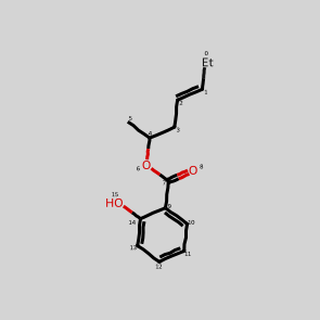 CCC=CCC(C)OC(=O)c1ccccc1O